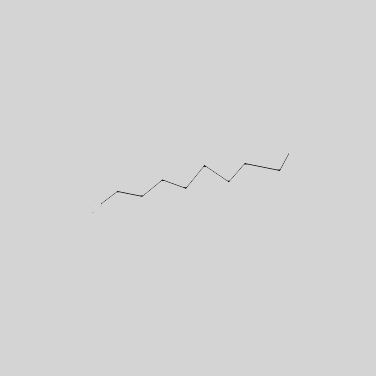 CCCCCCCC[CH2][Al+2].[F-].[F-]